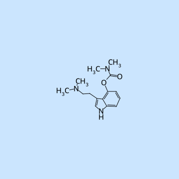 CN(C)CCc1c[nH]c2cccc(OC(=O)N(C)C)c12